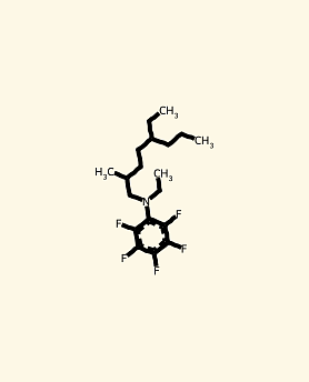 CCCC(CC)CCC(C)CN(CC)c1c(F)c(F)c(F)c(F)c1F